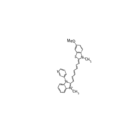 COc1ccc2c(c1)S\C(=C/C=C/C=C/C=C/c1n(-c3cccnc3)c3ccccc3[n+]1C)N2C